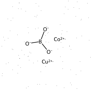 [Co+2].[Cu+2].[O-]B([O-])[O-]